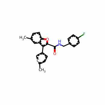 Cc1ccc(-c2c(C(=O)NCc3ccc(F)cc3)oc3ccc(C)cc23)cc1